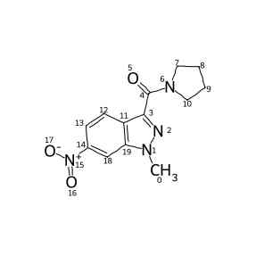 Cn1nc(C(=O)N2CCCC2)c2ccc([N+](=O)[O-])cc21